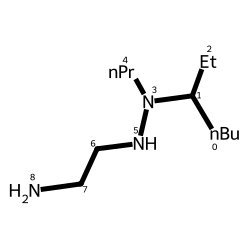 [CH2]CCCC(CC)N(CCC)NCCN